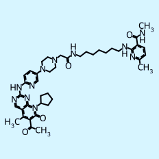 CNC(=O)c1ccc(C)nc1NCCCCCCCNC(=O)CN1CCN(c2ccc(Nc3ncc4c(C)c(C(C)=O)c(=O)n(C5CCCC5)c4n3)nc2)CC1